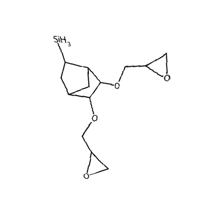 [SiH3]C1CC2CC1C(OCC1CO1)C2OCC1CO1